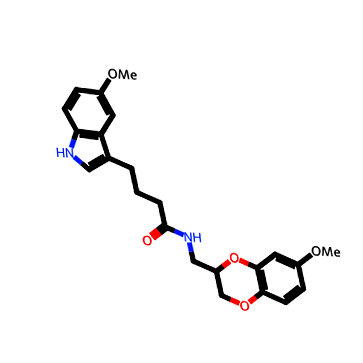 COc1ccc2c(c1)OC(CNC(=O)CCCc1c[nH]c3ccc(OC)cc13)CO2